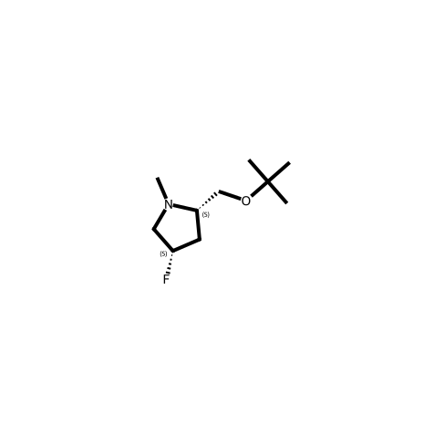 CN1C[C@@H](F)C[C@H]1COC(C)(C)C